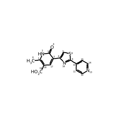 Cc1[nH]c(=O)c(-c2csc(-c3ccncc3)n2)cc1C(=O)O